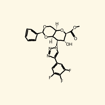 COC(=O)[C@@H]1O[C@@H]2CO[C@H](c3ccccc3)O[C@@H]2[C@H](n2cc(-c3cc(F)c(F)c(F)c3)nn2)[C@H]1O